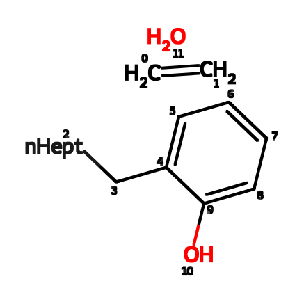 C=C.CCCCCCCCc1ccccc1O.O